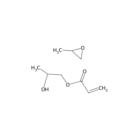 C=CC(=O)OCC(C)O.CC1CO1